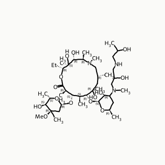 CC[C@H]1OC(=O)[C@H](C)[C@@H](O[C@H]2C[C@@](C)(OC)[C@@H](O)[C@H](C)O2)[C@H](C)[C@@H](O[C@@H]2O[C@H](C)CC(N(C)CC(O)CNCC(C)O)[C@H]2O)[C@](C)(O)C[C@@H](C)CN(C)[C@H](C)[C@@H](O)[C@]1(C)O